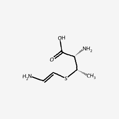 C[C@H](SC=CN)[C@@H](N)C(=O)O